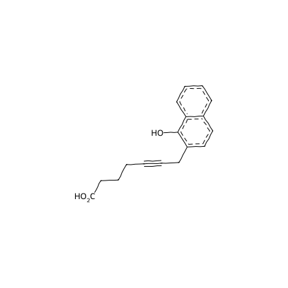 O=C(O)CCCC#CCc1ccc2ccccc2c1O